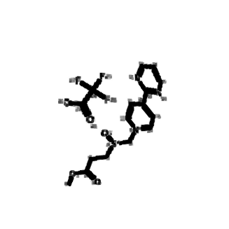 COC(=O)CC[S+]([O-])C[n+]1ccc(-c2ncccn2)cc1.O=C([O-])C(F)(F)F